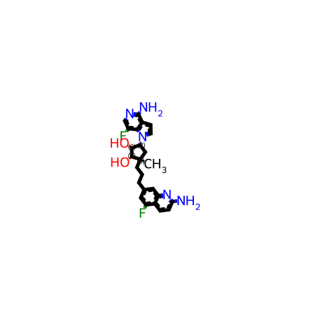 C[C@]1(CCCc2cc(F)c3ccc(N)nc3c2)C[C@@H](n2ccc3c(N)ncc(F)c32)[C@H](O)[C@@H]1O